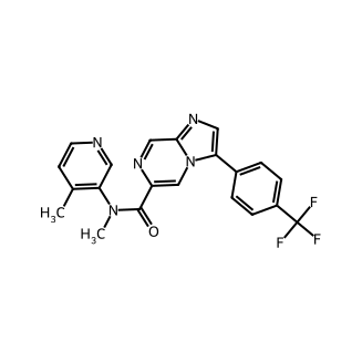 Cc1ccncc1N(C)C(=O)c1cn2c(-c3ccc(C(F)(F)F)cc3)cnc2cn1